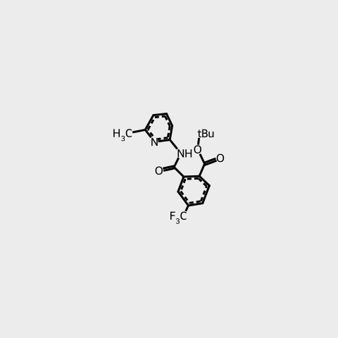 Cc1cccc(NC(=O)c2cc(C(F)(F)F)ccc2C(=O)OC(C)(C)C)n1